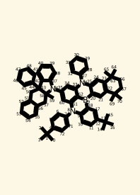 CC(C)(C)c1ccc(N2c3ccc(C(C)(C)C)cc3B3c4cc5c(cc4N(c4ccccc4)c4cc(N6c7ccccc7C7(c8ccccc8)Cc8ccccc8CC67C)cc2c43)C(C)(C)CCC5(C)C)cc1